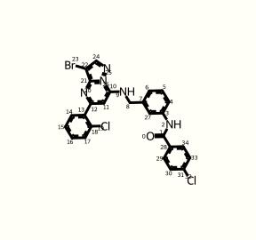 O=C(Nc1cccc(CNc2cc(-c3ccccc3Cl)nc3c(Br)cnn23)c1)c1ccc(Cl)cc1